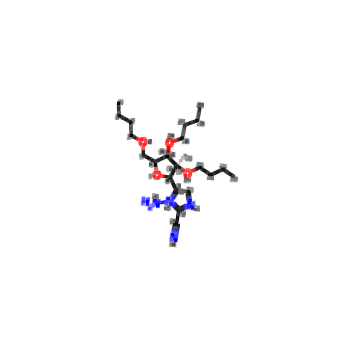 CCCCOCC1OC(c2cnc(C#N)n2N)[C@](C)(OCCCC)[C@@H]1OCCCC